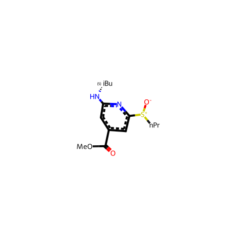 CCC[S+]([O-])c1cc(C(=O)OC)cc(N[C@@H](C)CC)n1